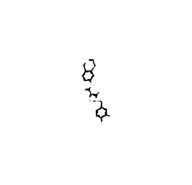 CCc1c(C(=O)Nc2ccc3c(c2)CCNC3)nnn1Cc1ccc(Cl)c(Cl)c1.Cl